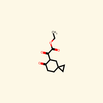 CCOC(=O)C(=O)C1CC2(CCC1=O)CC2